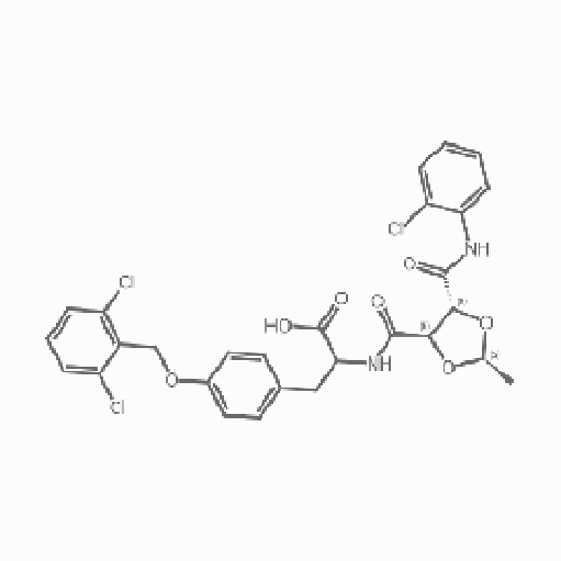 C[C@@H]1O[C@@H](C(=O)Nc2ccccc2Cl)[C@H](C(=O)NC(Cc2ccc(OCc3c(Cl)cccc3Cl)cc2)C(=O)O)O1